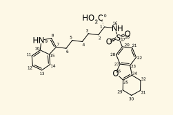 O=C(O)[C@@H](CCCCCc1c[nH]c2ccccc12)NS(=O)(=O)c1ccc2c3c(oc2c1)CCCC3